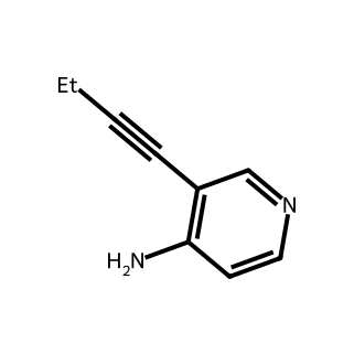 CCC#Cc1cnccc1N